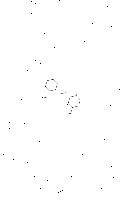 CC[C@@H]1CCCC[C@@H]1CC[C@@H]1CC(C(C)O)CCC1C